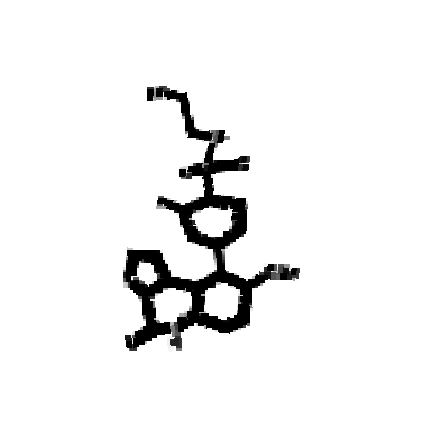 COc1ccc2[nH]c(=O)c3sccc3c2c1-c1ccc(S(=O)(=O)NCCO)c(F)c1